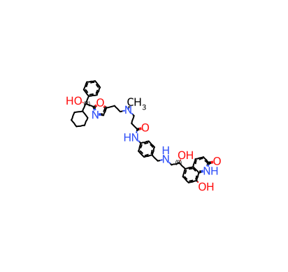 CN(CCC(=O)Nc1ccc(CNC[C@H](O)c2ccc(O)c3[nH]c(=O)ccc23)cc1)CCc1cnc([C@](O)(c2ccccc2)C2CCCCC2)o1